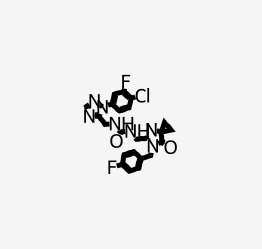 O=C(NCC1=NC2(CC2)C(=O)N1Cc1ccc(F)cc1)NCc1ncnn1-c1ccc(Cl)c(F)c1